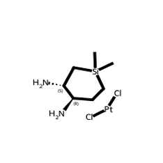 C[Si]1(C)CC[C@@H](N)[C@H](N)C1.[Cl][Pt][Cl]